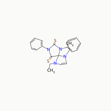 CCN1C=CN(CC)C12C(=S)N(c1ccccc1)C(=S)N2c1ccccc1